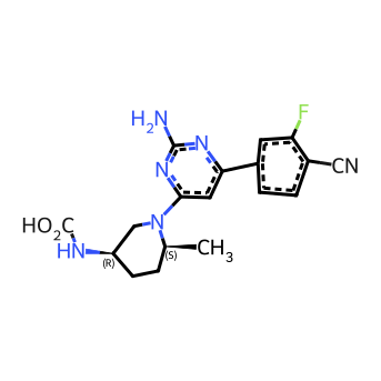 C[C@H]1CC[C@@H](NC(=O)O)CN1c1cc(-c2ccc(C#N)c(F)c2)nc(N)n1